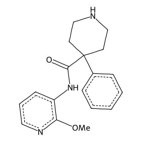 COc1ncccc1NC(=O)C1(c2ccccc2)CCNCC1